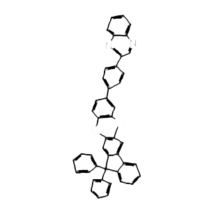 c1ccc(C2(c3ccccc3)c3ccccc3-c3cc4c(cc32)Oc2ccc(-c3ccc(-c5cnc6ccccc6n5)cc3)cc2O4)cc1